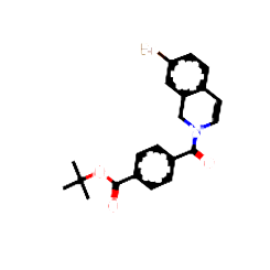 CC(C)(C)OC(=O)c1ccc(C(=O)N2C=Cc3ccc(Br)cc3C2)cc1